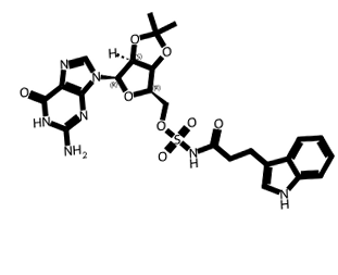 CC1(C)OC2[C@@H](COS(=O)(=O)NC(=O)CCc3c[nH]c4ccccc34)O[C@@H](n3cnc4c(=O)[nH]c(N)nc43)[C@H]2O1